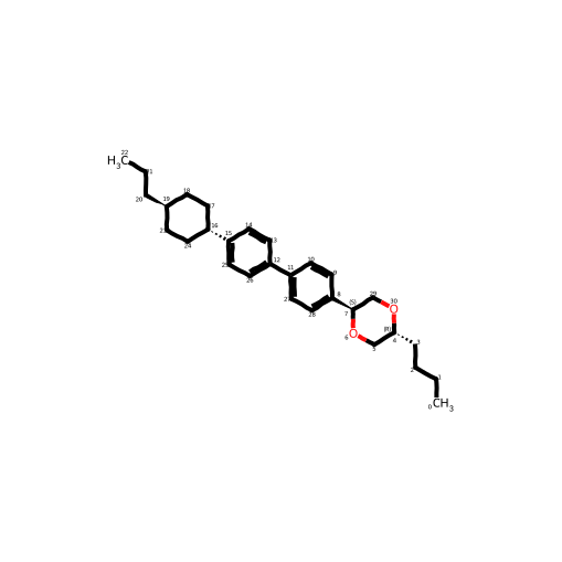 CCCC[C@@H]1CO[C@@H](c2ccc(-c3ccc([C@H]4CC[C@H](CCC)CC4)cc3)cc2)CO1